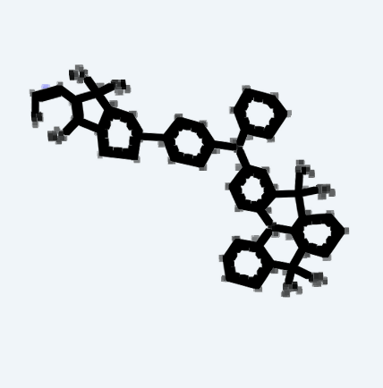 CC/C=C\C1=C(C)c2ccc(-c3ccc(N(c4ccccc4)c4ccc5c(c4)C(C)(C)c4cccc6c4N5c4ccccc4C6(C)C)cc3)cc2C1(C)C